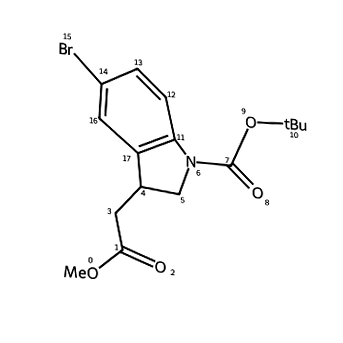 COC(=O)CC1CN(C(=O)OC(C)(C)C)c2ccc(Br)cc21